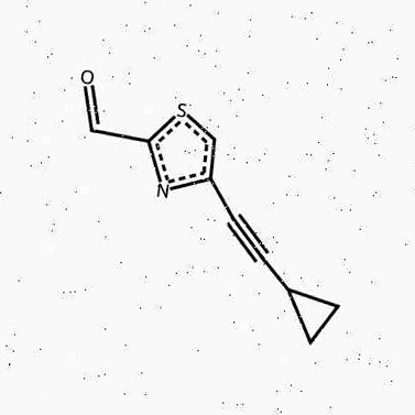 O=Cc1nc(C#CC2CC2)cs1